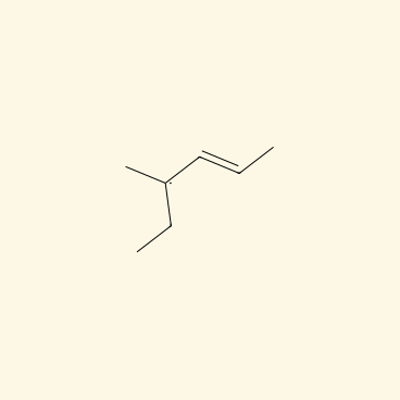 CC=C[C](C)CC